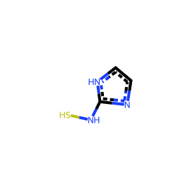 SNc1ncc[nH]1